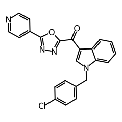 O=C(c1nnc(-c2ccncc2)o1)c1cn(Cc2ccc(Cl)cc2)c2ccccc12